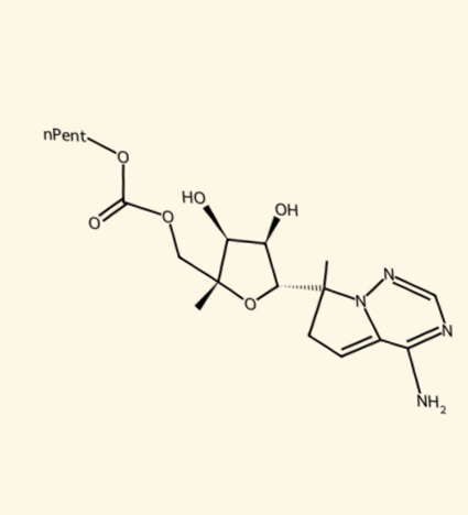 CCCCCOC(=O)OC[C@@]1(C)O[C@@H](C2(C)CC=C3C(N)=NC=NN32)[C@H](O)[C@@H]1O